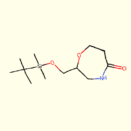 CC(C)(C)[Si](C)(C)OCC1CNC(=O)CCO1